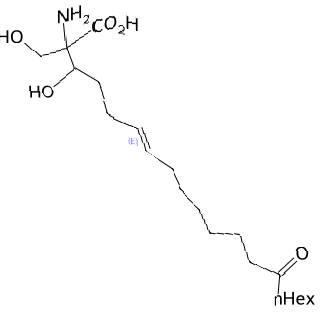 CCCCCCC(=O)CCCCCC/C=C/CCC(O)C(N)(CO)C(=O)O